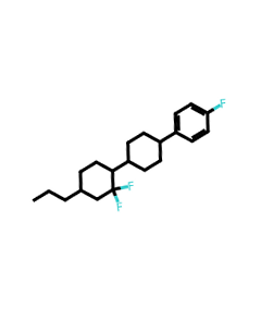 CCCC1CCC(C2CCC(c3ccc(F)cc3)CC2)C(F)(F)C1